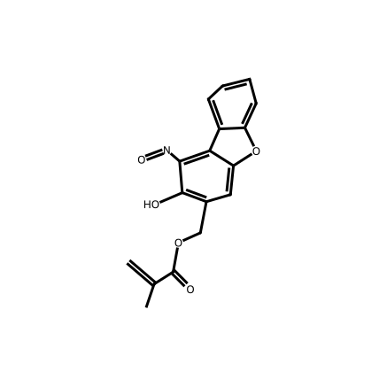 C=C(C)C(=O)OCc1cc2oc3ccccc3c2c(N=O)c1O